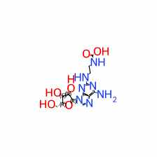 Nc1nc(NCCNC(=O)O)nc2c1ncn2[C@@H]1O[C@H](CO)[C@@H](O)[C@H]1O